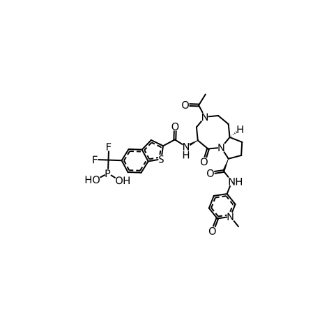 CC(=O)N1CC[C@H]2CC[C@@H](C(=O)Nc3ccc(=O)n(C)c3)N2C(=O)[C@@H](NC(=O)c2cc3cc(C(F)(F)P(O)O)ccc3s2)C1